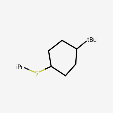 CC(C)SC1CCC(C(C)(C)C)CC1